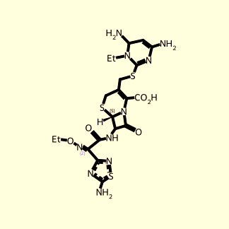 CCO/N=C(\C(=O)NC1C(=O)N2C(C(=O)O)=C(CSC3=NC(N)=CC(N)N3CC)CS[C@@H]12)c1nsc(N)n1